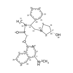 CNc1cnc(OCC(=O)N(C)C(CN2CC[C@H](O)C2)c2ccccc2)c2ccccc12